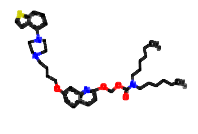 CCCCCCN(CCCCCC)C(=O)OCOc1ccc2ccc(OCCCCN3CCN(c4cccc5sccc45)CC3)cc2n1